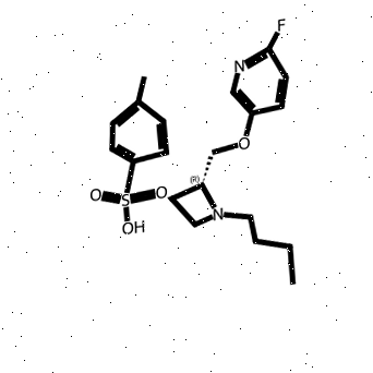 CCCCN1CC[C@@H]1COc1ccc(F)nc1.Cc1ccc(S(=O)(=O)O)cc1